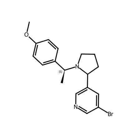 COc1ccc([C@H](C)N2CCCC2c2cncc(Br)c2)cc1